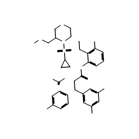 COC(=O)N[C@H](C(=O)Nc1cccc(F)c1CC[C@H]1CNCC(COC(C)C)N1S(=O)(=O)C1CC1)[C@@H](c1ccc(F)cc1)c1cc(F)cc(F)c1